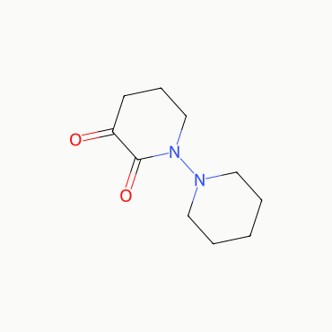 O=C1CCCN(N2CCCCC2)C1=O